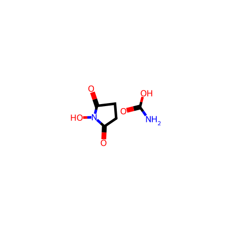 NC(=O)O.O=C1CCC(=O)N1O